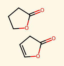 O=C1CC=CO1.O=C1CCCO1